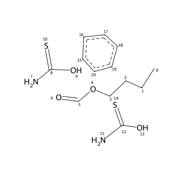 CCCCOC=O.NC(O)=S.NC(O)=S.c1ccccc1